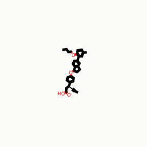 CC#C[C@@H](CC(=O)O)c1ccc(OC2CCc3cc(-c4cc(C)ccc4OCCCC)ccc32)cc1